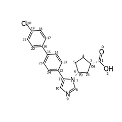 O=C(O)[C@H]1CC[C@@H](n2cncc2-c2ccc(-c3ccc(Cl)cc3)cc2)C1